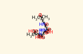 CC(=O)[C@@H](C)CCCCNC(=O)CC[C@H](NC(=O)CC[C@H](NC(=O)CC[C@H](C)C(=O)O)C(=O)O)C(=O)O